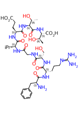 CC(C)[C@H](NC(=O)CNC(=O)[C@H](CO)NC(=O)[C@H](CCCN=C(N)N)NC(=O)[C@@H](N)Cc1ccccc1)C(=O)N[C@@H](CCC(=O)O)C(=O)N[C@H](C(=O)N[C@H](C(=O)O)[C@@H](C)O)[C@@H](C)O